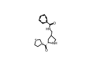 O=C(NCC1CN[C@H](C(=O)N2CCSC2)C1)c1ccccc1